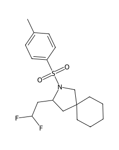 Cc1ccc(S(=O)(=O)N2CC3(CCCCC3)CC2CC(F)F)cc1